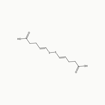 O=C(O)CCC=CSSC=CCCC(=O)O